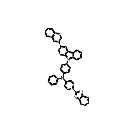 c1ccc(N(c2ccc(-c3nc4ccccc4o3)cc2)c2ccc(-n3c4ccccc4c4cc(-c5ccc6ccccc6c5)ccc43)cc2)cc1